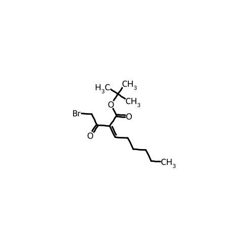 CCCCCC=C(C(=O)CBr)C(=O)OC(C)(C)C